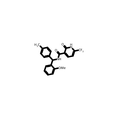 COc1ccccc1C(NC(=O)c1ccc(C(F)(F)F)[nH]c1=O)c1ccc(C)cc1